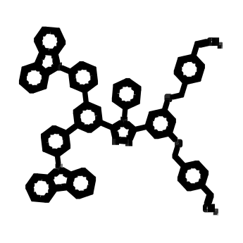 C=Cc1ccc(COc2cc(OCc3ccc(C=C)cc3)cc(-c3nnc(-c4cc(-c5cccc(-n6c7ccccc7c7ccccc76)c5)cc(-c5cccc(-n6c7ccccc7c7ccccc76)c5)c4)n3-c3ccccc3)c2)cc1